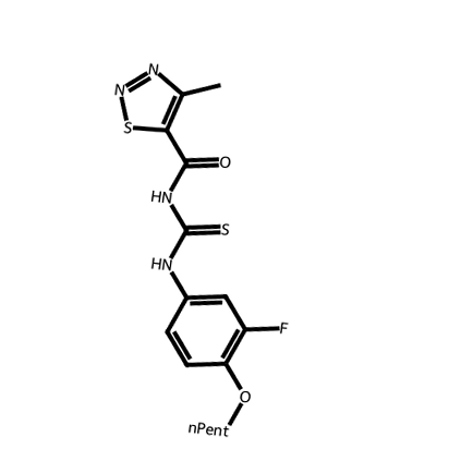 CCCCCOc1ccc(NC(=S)NC(=O)c2snnc2C)cc1F